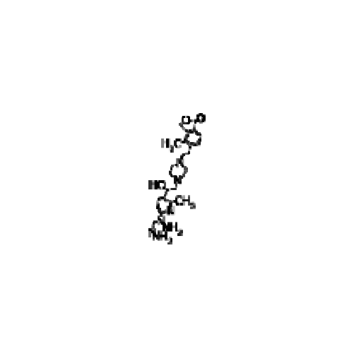 Cc1nc(N(N)/C=N\N)ccc1C(O)CN1CCN(CCc2ccc3c(c2C)COC3=O)CC1